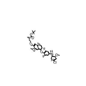 COc1cc(Cl)ncc1Nc1cc(F)c(Oc2ccnc3cc(OCCN(C)C(=O)OC(C)(C)C)c(OC)cc23)c(F)c1